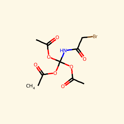 C.CC(=O)OC(NC(=O)CBr)(OC(C)=O)OC(C)=O